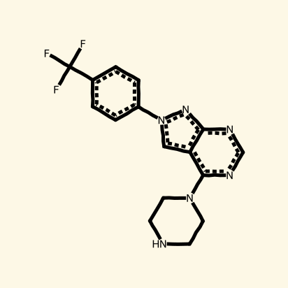 FC(F)(F)c1ccc(-n2cc3c(N4CCNCC4)ncnc3n2)cc1